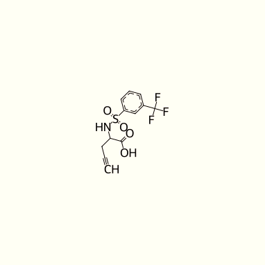 C#CCC(NS(=O)(=O)c1cccc(C(F)(F)F)c1)C(=O)O